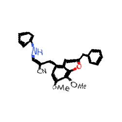 COc1cc(C/C(C#N)=C\Nc2ccccc2)c2cc(Cc3ccccc3)oc2c1OC